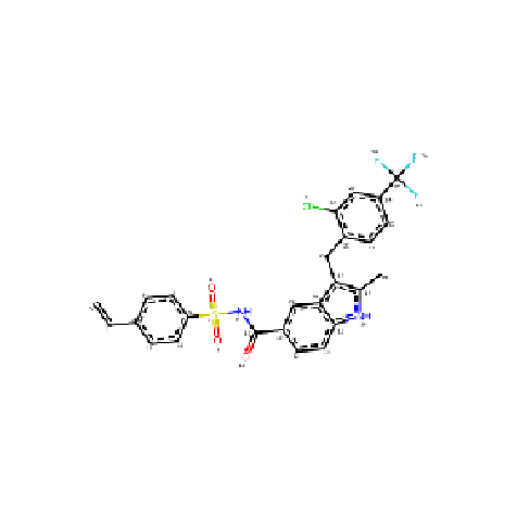 C=Cc1ccc(S(=O)(=O)NC(=O)c2ccc3[nH]c(C)c(Cc4ccc(C(F)(F)F)cc4Cl)c3c2)cc1